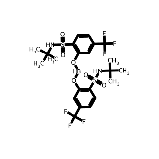 CC(C)(C)NS(=O)(=O)c1ccc(C(F)(F)F)cc1OBOc1cc(C(F)(F)F)ccc1S(=O)(=O)NC(C)(C)C